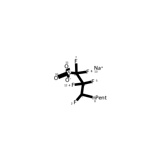 CCCCCC(F)C(F)(F)C(F)(F)S(=O)(=O)[O-].[Na+]